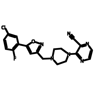 N#Cc1nccnc1N1CCN(Cc2cc(-c3cc(Cl)ccc3F)on2)CC1